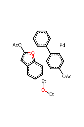 CC(=O)Oc1cc2ccccc2o1.CC(=O)Oc1ccc(-c2ccccc2)cc1.CCOCC.[Pd]